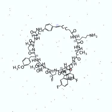 COc1ccc(C[C@@H]2NC(=O)[C@H]([C@@H](C)O)NC(=O)[C@@H]3C[C@H](F)CN3C(=O)[C@H](Cc3c[nH]c4ccc(F)cc34)NC(=O)[C@H](Cc3c[nH]c4ccc(F)cc34)NC(=O)C[C@@H](C)NC(=O)[C@H](CCCCN)NC(=O)CCC/C=C\c3ccc(cc3)C[C@@H](C(N)=O)NC(=O)[C@]3(C)CCCN3C2=O)cc1